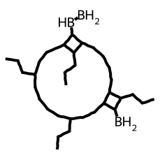 BBC1C2CCCCC3C(CCC)C(B)C3CCC(CCC)CCCCC(CCC)CCC1C2CCC